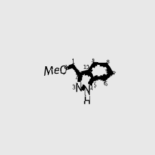 COCc1n[nH]c2ccccc12